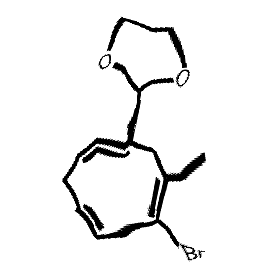 Cc1c(Br)cccc1C1OCCO1